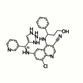 N#Cc1cnc2c(Cl)cc(N[C@H](C3=CNNN3)c3cccnc3)cc2c1NC(CCO)c1ccccc1